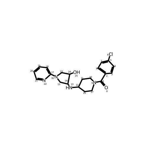 O=C(c1ccc(Cl)cc1)N1CCC(NC2CN(c3ccccn3)CC2O)CC1